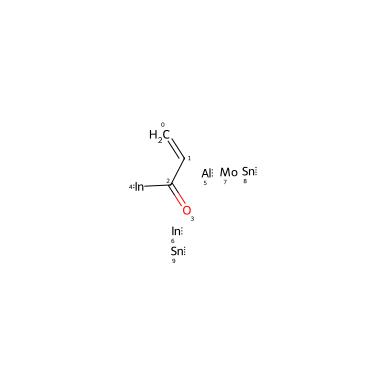 C=C[C](=O)[In].[Al].[In].[Mo].[Sn].[Sn]